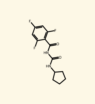 O=C(NC(=O)c1c(F)cc(F)cc1F)NC1CCCC1